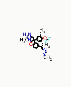 C=N/C=N\C=C(/C)c1cccc(C2(c3ccc(OC(F)F)c(C)c3)C=C(N)N(C)C2=O)c1